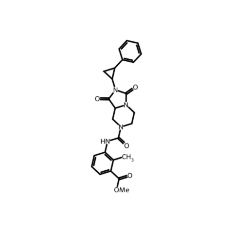 COC(=O)c1cccc(NC(=O)N2CCN3C(=O)N(C4CC4c4ccccc4)C(=O)C3C2)c1C